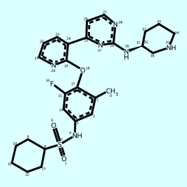 Cc1cc(NS(=O)(=O)C2CCCCC2)cc(F)c1Oc1ncccc1-c1ccnc(N[C@H]2CCCNC2)n1